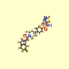 CC1CN(c2ccc(S(=O)(=O)Nc3nncs3)cc2)CCN1C(=O)Cn1ccc2ccc(F)cc21